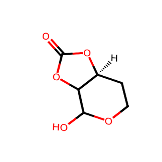 O=C1OC2C(O)OCC[C@@H]2O1